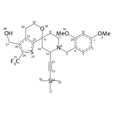 COc1ccc(CN2CCC3(CC2C#C[Si](C)(C)C)OCCc2c3sc(C(F)(F)F)c2CO)c(OC)c1